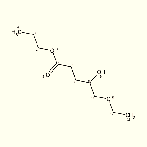 CCCOC(=O)CCC(O)COCC